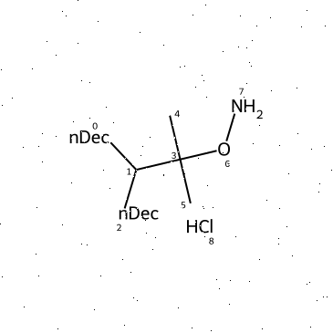 CCCCCCCCCCC(CCCCCCCCCC)C(C)(C)ON.Cl